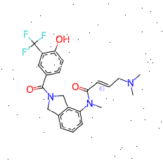 CN(C)C/C=C/C(=O)N(C)c1cccc2c1CN(C(=O)c1ccc(O)c(C(F)(F)F)c1)C2